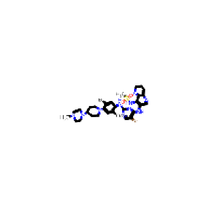 CCc1cc(Nc2ncc(Br)c(Nc3cnc4cccnc4c3NS(C)(=O)=O)n2)c(OC)cc1N1CCC(N2CCN(C)CC2)CC1